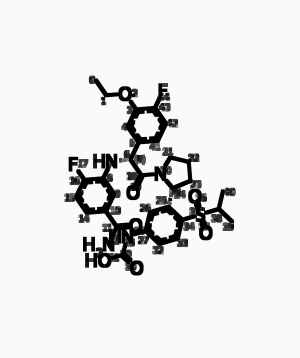 CCOc1cc([C@@H](Nc2cc(C(N)=O)ccc2F)C(=O)N2CCC[C@@H]2c2cc(NC(=O)O)ccc2S(=O)(=O)C(C)C)ccc1F